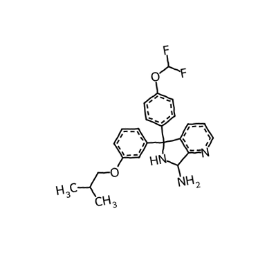 CC(C)COc1cccc(C2(c3ccc(OC(F)F)cc3)NC(N)c3ncccc32)c1